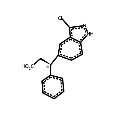 O=C(O)C[C@H](c1ccccc1)c1ccc2[nH]nc(Cl)c2c1